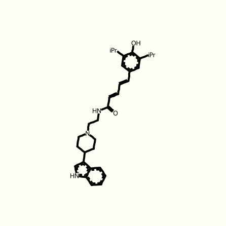 CC(C)c1cc(/C=C/C=C/C(=O)NCCN2CCC(c3c[nH]c4ccccc34)CC2)cc(C(C)C)c1O